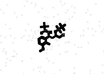 COc1cccc([C@H](C[C@H](CCl)O[Si](C)(C)C(C)(C)C)N[S@@+]([O-])C(C)(C)C)c1C